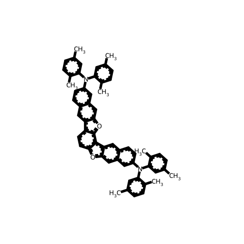 Cc1ccc(C)c(N(c2ccc3cc4c(cc3c2)oc2c4ccc3oc4cc5cc(N(c6cc(C)ccc6C)c6cc(C)ccc6C)ccc5cc4c32)c2cc(C)ccc2C)c1